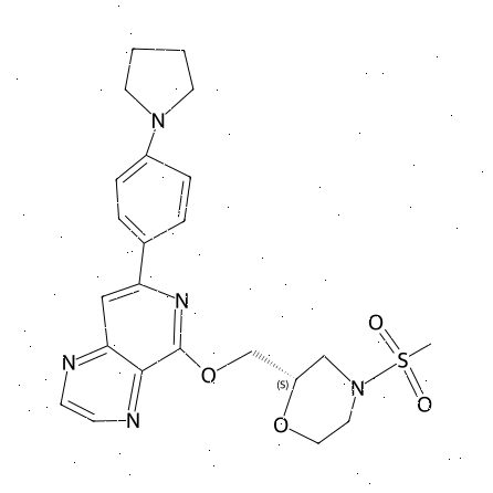 CS(=O)(=O)N1CCO[C@H](COc2nc(-c3ccc(N4CCCC4)cc3)cc3nccnc23)C1